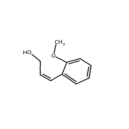 COc1ccccc1/C=C\CO